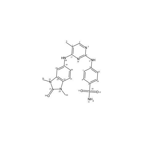 Cc1cnc(Nc2ccc(S(N)(=O)=O)cc2)nc1Nc1ccc2c(c1)n(C)c(=O)n2C